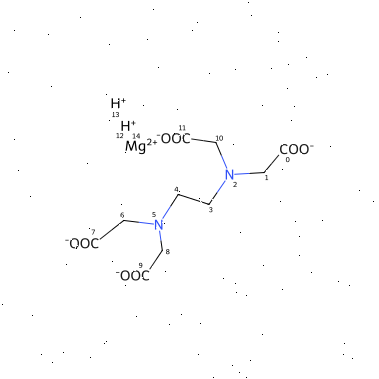 O=C([O-])CN(CCN(CC(=O)[O-])CC(=O)[O-])CC(=O)[O-].[H+].[H+].[Mg+2]